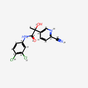 CC(O)(C(=O)Nc1ccc(Cl)c(Cl)c1)c1ccc(C#N)nc1